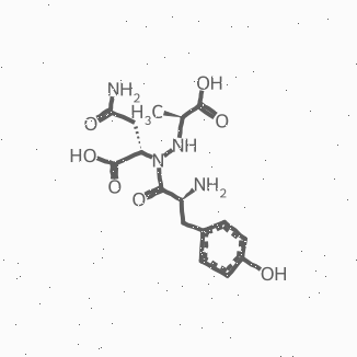 C[C@H](NN(C(=O)[C@@H](N)Cc1ccc(O)cc1)[C@@H](CC(N)=O)C(=O)O)C(=O)O